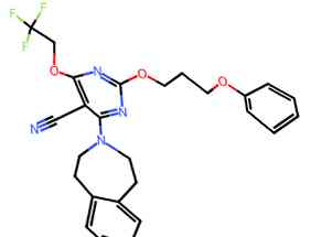 N#Cc1c(OCC(F)(F)F)nc(OCCCOc2ccccc2)nc1N1CCc2ccccc2CC1